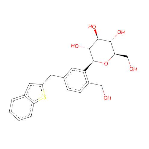 OCc1ccc(Cc2cc3ccccc3s2)cc1[C@@H]1O[C@H](CO)[C@@H](O)[C@H](O)[C@H]1O